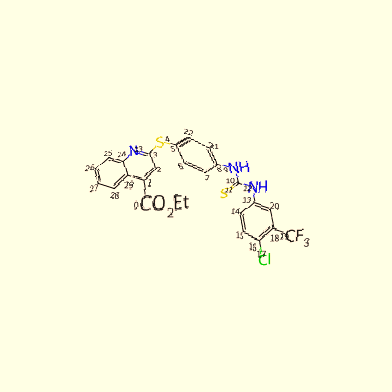 CCOC(=O)c1cc(Sc2ccc(NC(=S)Nc3ccc(Cl)c(C(F)(F)F)c3)cc2)nc2ccccc12